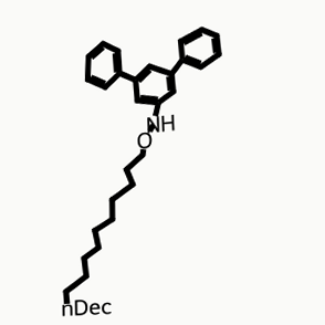 CCCCCCCCCCCCCCCCCCCCONc1cc(-c2ccccc2)cc(-c2ccccc2)c1